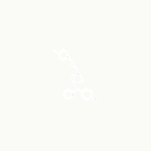 Cc1ccc(/C=C/CN2CCN(C(c3ccccc3)c3ccc([18F])cc3)CC2)cc1